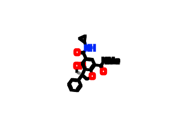 CNC(=O)c1cc(C(=O)NC2CC2)cc2c1OC[C@@]2(CO)c1ccccc1